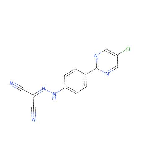 N#CC(C#N)=NNc1ccc(-c2ncc(Cl)cn2)cc1